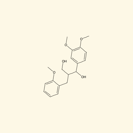 COc1ccccc1CC(CO)C(O)c1ccc(OC)c(OC)c1